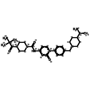 C[C@H](N)C1CCN(Cc2ccc(-n3ccc(NC(=O)N4CCN(C(=O)C(C)(C)N)CC4)nc3=O)cc2)CC1